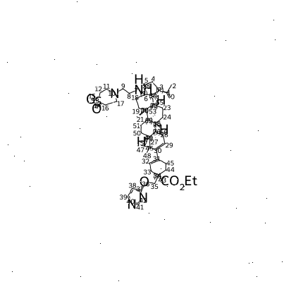 C=C(C)[C@@H]1CC[C@]2(NCCN3CCS(=O)(=O)CC3)CC[C@]3(C)[C@H](CC[C@@H]4[C@@]5(C)CC=C(C6=CC[C@](COc7ccncn7)(C(=O)OCC)CC6)C(C)(C)[C@@H]5CC[C@]43C)[C@@H]12